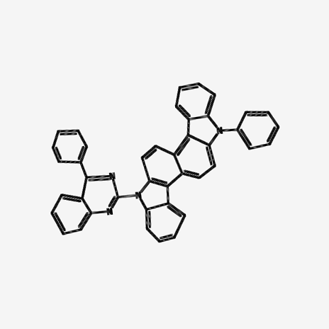 c1ccc(-c2nc(-n3c4ccccc4c4c5ccc6c(c5ccc43)c3ccccc3n6-c3ccccc3)nc3ccccc23)cc1